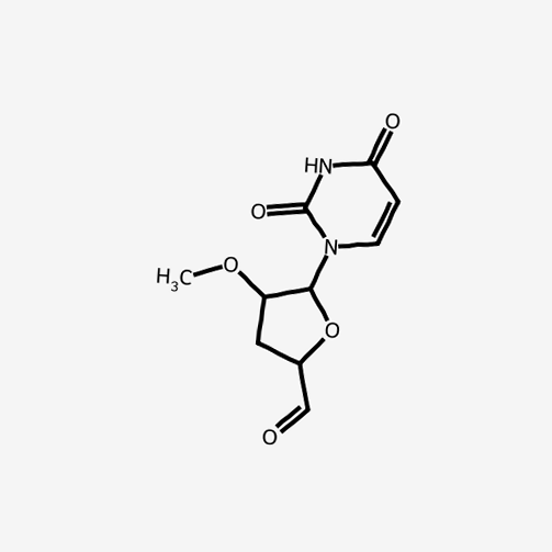 COC1CC(C=O)OC1n1ccc(=O)[nH]c1=O